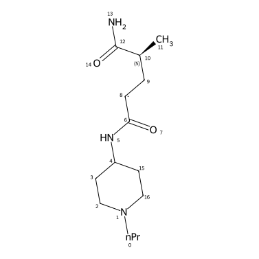 CCCN1CCC(NC(=O)[CH]C[C@H](C)C(N)=O)CC1